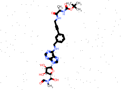 C[C@H](NC(=O)OC(C)(C)C)C(=O)NCC#Cc1cccc(CNc2ncnc3c2ncn3[C@@H]2O[C@H](C(O)N(C)C=O)[C@@H](O)[C@H]2O)c1